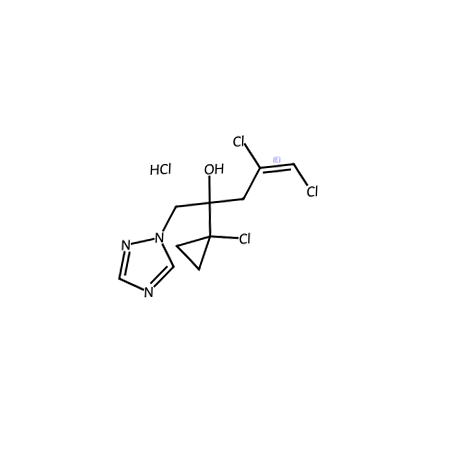 Cl.OC(C/C(Cl)=C\Cl)(Cn1cncn1)C1(Cl)CC1